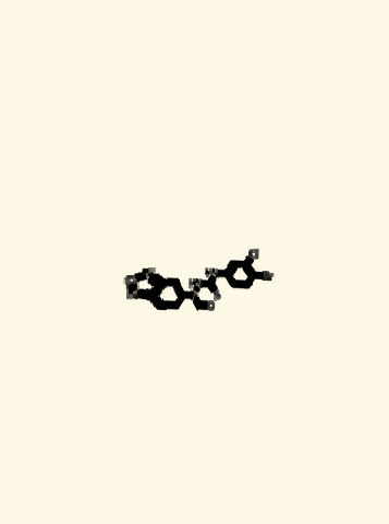 O=CN(NC(=S)Nc1ccc(Br)c(Cl)c1)c1ccc2nonc2c1